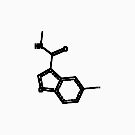 [CH2]c1ccc2occ(C(=O)NC)c2c1